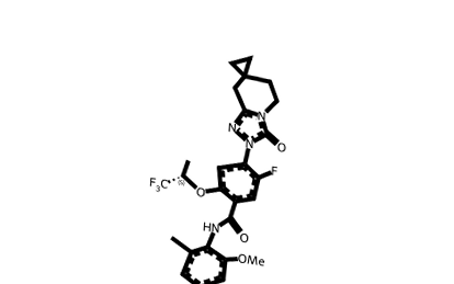 COc1cccc(C)c1NC(=O)c1cc(F)c(-n2nc3n(c2=O)CCC2(CC2)C3)cc1O[C@@H](C)C(F)(F)F